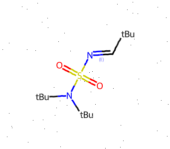 CC(C)(C)/C=N/S(=O)(=O)N(C(C)(C)C)C(C)(C)C